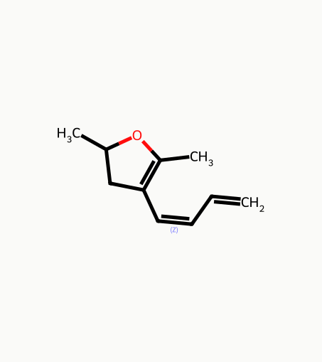 C=C/C=C\C1=C(C)OC(C)C1